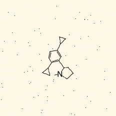 CN1CCCC1c1cc(C2CC2)ccc1C1CC1